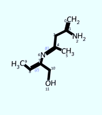 C=C(N)C/C(C)=N/C(=C\C)CO